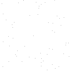 COc1cccc2cc3ccccc3c(-c3c(C)[c]c(C)cc3C)c12